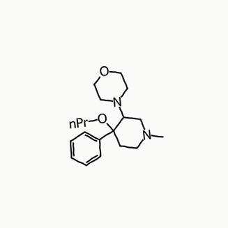 CCCOC1(c2ccccc2)CCN(C)CC1N1CCOCC1